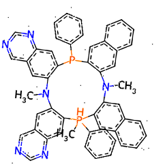 CN1c2cc3ccccc3cc2P(c2ccccc2)c2cc3ncncc3cc2N(C)c2cc3cncnc3cc2[PH](C)(c2ccccc2)c2cc3ccccc3cc21